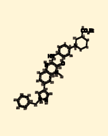 CCOC(=O)C1CCCN(c2ccc(Nc3nc4ccc(-c5cnn(Cc6ccccc6)c5)cc4n(C)c3=O)cc2)C1